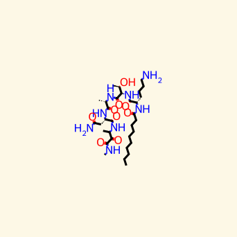 CCCCCCCCCC(=O)N[C@@H](CCCCN)C(=O)N[C@H](C(=O)N[C@@H](C)C(=O)N[C@@H](CC(N)=O)C(=O)NC(C)C(=O)C(=O)NC)[C@@H](C)O